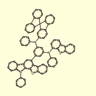 c1ccc(N(c2cc(-c3cc4c5ccccc5n(-c5ccccc5)c4c4oc5ccccc5c34)cc(N(c3ccccc3)c3cccc4c3sc3ccccc34)c2)c2ccc3c(c2)C2(c4ccccc4-c4ccccc42)c2ccccc2-3)cc1